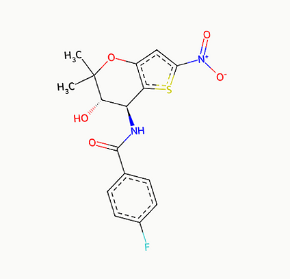 CC1(C)Oc2cc([N+](=O)[O-])sc2[C@@H](NC(=O)c2ccc(F)cc2)[C@@H]1O